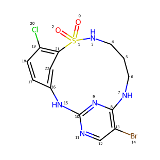 O=S1(=O)NCCCNc2nc(ncc2Br)Nc2ccc(Cl)c1c2